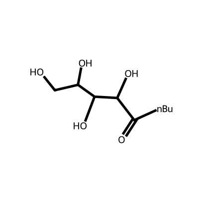 CCCCC(=O)C(O)C(O)C(O)CO